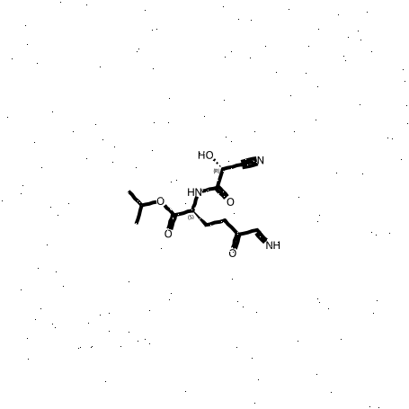 CC(C)OC(=O)[C@H](CCC(=O)C=N)NC(=O)[C@H](O)C#N